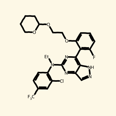 CCN(c1nc(-c2c(F)cccc2OCCOC2CCCCO2)c2[nH]ncc2n1)c1ccc(C(F)(F)F)cc1Cl